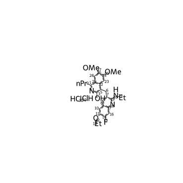 CCCc1nc(O)c(Cc2cc3cc(OCC)c(F)cc3nc2NCC)c2cc(OC)c(OC)cc12.Cl.Cl